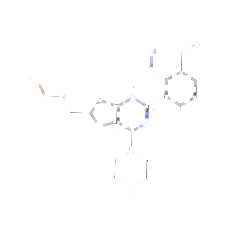 N=Cc1c(CN)cccc1-c1nc(N2CCOCC2)c2sc(CNC=O)cc2n1